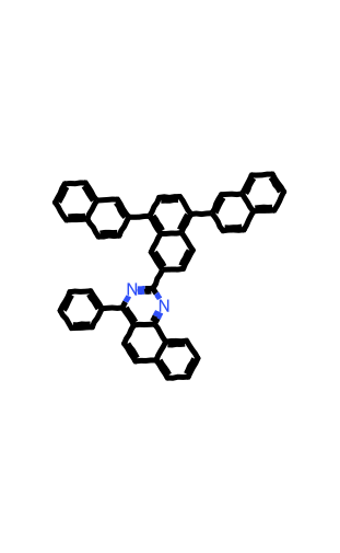 c1ccc(-c2nc(-c3ccc4c(-c5ccc6ccccc6c5)ccc(-c5ccc6ccccc6c5)c4c3)nc3c2ccc2ccccc23)cc1